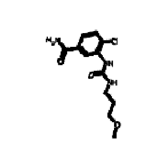 COCCCNC(=O)Nc1cc(C(N)=O)ccc1Cl